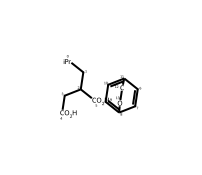 CC(C)CC(CC(=O)O)C(=O)O.c1cc2ccc1CO2